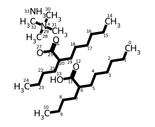 CCCCCCC(CCCC)C(=O)O.CCCCCCC(CCCC)C(=O)[O-].C[N+](C)(C)C.N